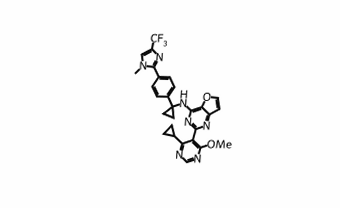 COc1ncnc(C2CC2)c1-c1nc(NC2(c3ccc(-c4nc(C(F)(F)F)cn4C)cc3)CC2)c2occc2n1